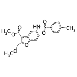 COCc1oc2ccc(NS(=O)(=O)c3ccc(C)cc3)cc2c1C(=O)OC